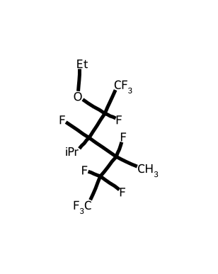 CCOC(F)(C(F)(F)F)C(F)(C(C)C)C(C)(F)C(F)(F)C(F)(F)F